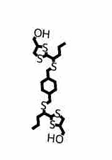 CCCC(SCC1CCC(CSC(CCC)C2SCC(CO)S2)CC1)C1SCC(CO)S1